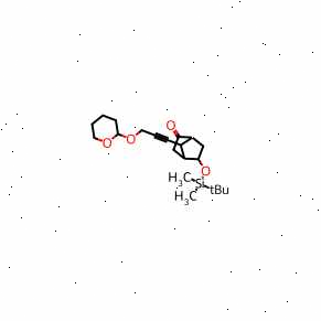 CC(C)(C)[Si](C)(C)OC1CC2C(=O)CC1C2C#CCOC1CCCCO1